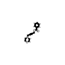 O=C(OCC#CCN1CCOCC1)c1ccccc1